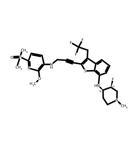 COc1nc(P(C)(C)=O)ccc1NCC#Cc1sc2c(N[C@@H]3CCN(C)C[C@@H]3F)cccc2c1CC(F)(F)F